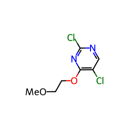 COCCOc1nc(Cl)ncc1Cl